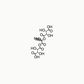 N.N.O=C(OC(=O)C(O)C(O)C(=O)O)C(=O)OC(=O)C(O)C(O)C(=O)O